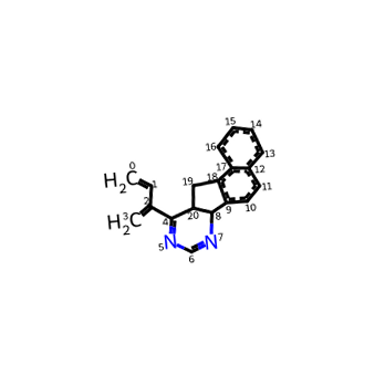 C=CC(=C)C1=NC=NC2c3ccc4ccccc4c3CC12